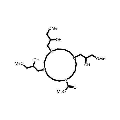 COCC(O)CN1CCCN(CC(O)COC)CCN(CC(O)COC)CCCN(C(=O)OC)CCC1